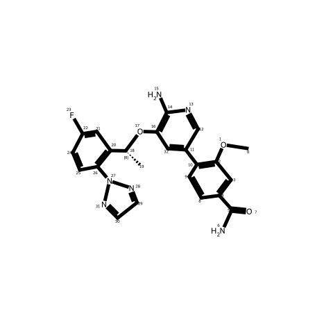 COc1cc(C(N)=O)ccc1-c1cnc(N)c(O[C@H](C)c2cc(F)ccc2-n2nccn2)c1